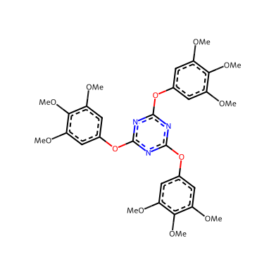 COc1cc(Oc2nc(Oc3cc(OC)c(OC)c(OC)c3)nc(Oc3cc(OC)c(OC)c(OC)c3)n2)cc(OC)c1OC